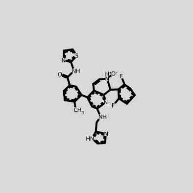 Cc1ccc(C(=O)Nc2nccs2)cc1-c1cc(NCc2ncc[nH]2)nc2c1C=C[NH+]([O-])C2c1c(F)cccc1F